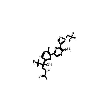 CC(=O)NCC(O)(c1ccc(C)c(-c2cnc(N)c(-c3cnn(CC(F)(F)F)c3)n2)c1)C(F)(F)F